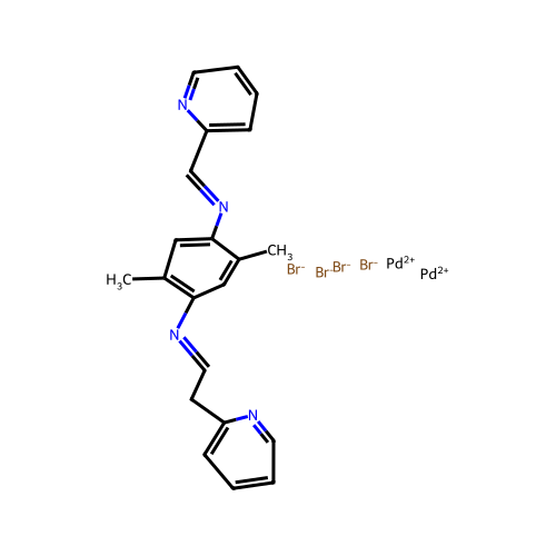 Cc1cc(N=Cc2ccccn2)c(C)cc1N=CCc1ccccn1.[Br-].[Br-].[Br-].[Br-].[Pd+2].[Pd+2]